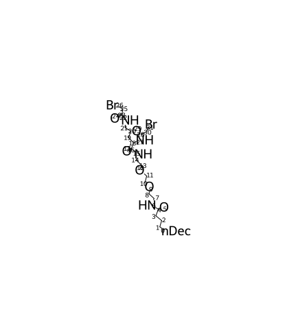 CCCCCCCCCCCCCC(=O)NCCOCCOCCNC(=O)C(CCCNC(=O)CBr)NC(=O)CBr